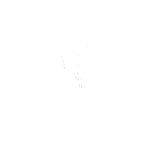 CC(C)CO.O=S(=O)([O-])[O-].[Na+].[Na+]